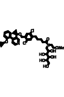 COCCN(CC(O)C(O)C(O)C(O)CO)C(=O)CCCCc1cc(Cl)c(COC2(c3cnccc3-c3ccccc3OC3CC3)CC2)cc1Cl